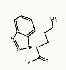 CCCCOC(C)=O.c1ccc2[nH]nnc2c1